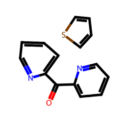 O=C(c1ccccn1)c1ccccn1.c1ccsc1